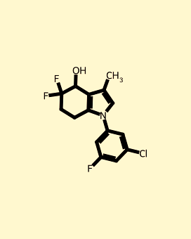 Cc1cn(-c2cc(F)cc(Cl)c2)c2c1C(O)C(F)(F)CC2